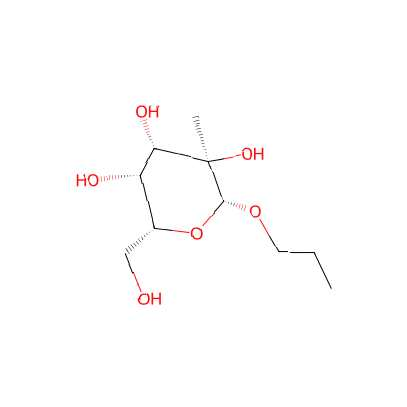 CCCO[C@@H]1O[C@H](CO)[C@H](O)[C@H](O)[C@@]1(C)O